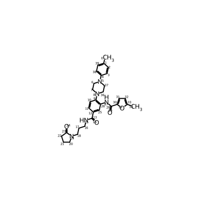 Cc1ccc(N2CCN(c3ccc(C(=O)NCCCN4CCCC4=O)cc3NC(=O)c3ccc(C)o3)CC2)cc1